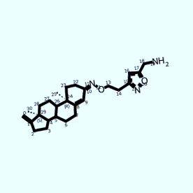 C=C1CCC2C3CCC4=CC(=NOCCc5cc(CN)on5)CC[C@]4(C)C3CC[C@]12C